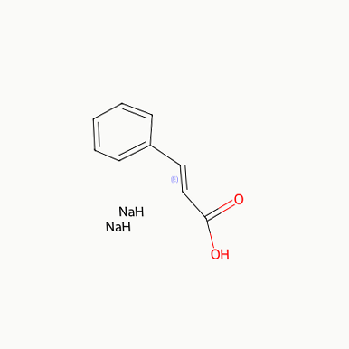 O=C(O)/C=C/c1ccccc1.[NaH].[NaH]